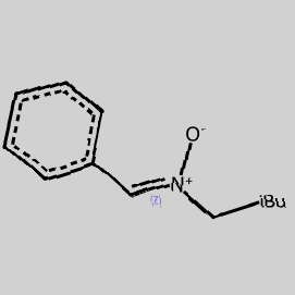 CCC(C)C/[N+]([O-])=C/c1ccccc1